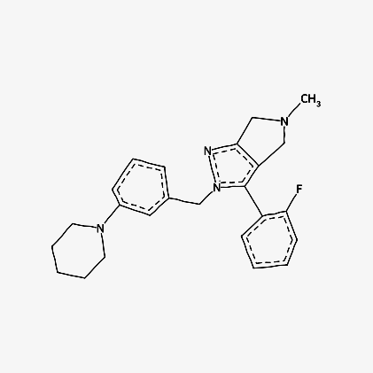 CN1Cc2nn(Cc3cccc(N4CCCCC4)c3)c(-c3ccccc3F)c2C1